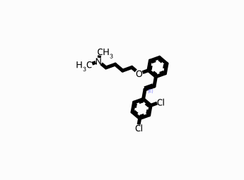 CN(C)CCCCOc1ccccc1/C=C/c1ccc(Cl)cc1Cl